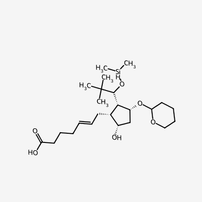 C[SiH](C)OC([C@H]1[C@@H](CC=CCCCC(=O)O)[C@@H](O)C[C@H]1OC1CCCCO1)C(C)(C)C